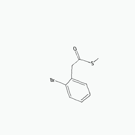 CSC(=O)Cc1ccccc1Br